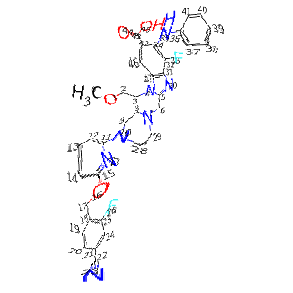 COCCn1c(CN2CCN(c3cccc(OCc4ccc(C#N)cc4F)n3)CC2)nc2c(F)c(Nc3ccccc3)c(C(=O)O)cc21